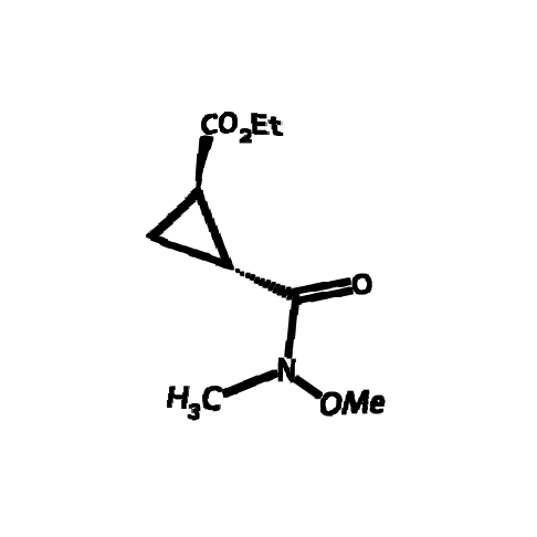 CCOC(=O)[C@@H]1C[C@H]1C(=O)N(C)OC